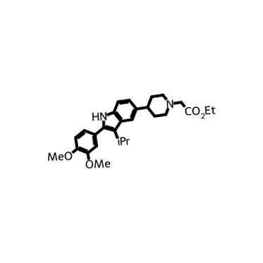 CCOC(=O)CN1CCC(c2ccc3[nH]c(-c4ccc(OC)c(OC)c4)c(C(C)C)c3c2)CC1